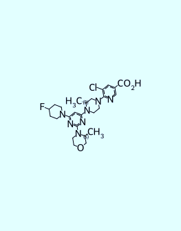 C[C@@H]1CN(c2ncc(C(=O)O)cc2Cl)CCN1c1cc(N2CCC(F)CC2)nc(N2CCOC[C@@H]2C)n1